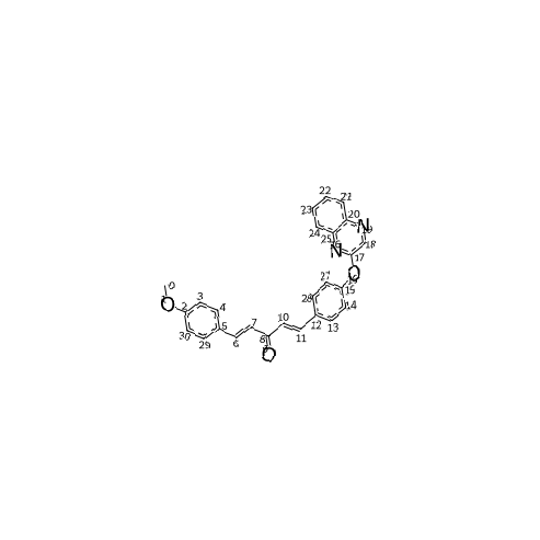 COc1ccc(C=CC(=O)C=Cc2ccc(Oc3cnc4ccccc4n3)cc2)cc1